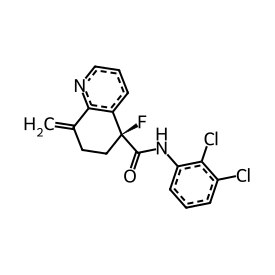 C=C1CC[C@@](F)(C(=O)Nc2cccc(Cl)c2Cl)c2cccnc21